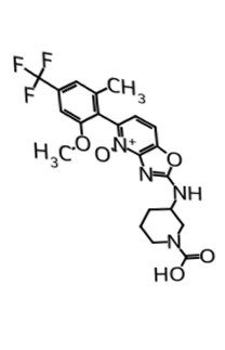 COc1cc(C(F)(F)F)cc(C)c1-c1ccc2oc(NC3CCCN(C(=O)O)C3)nc2[n+]1[O-]